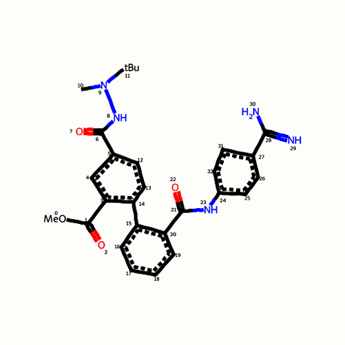 COC(=O)c1cc(C(=O)NN(C)C(C)(C)C)ccc1-c1ccccc1C(=O)Nc1ccc(C(=N)N)cc1